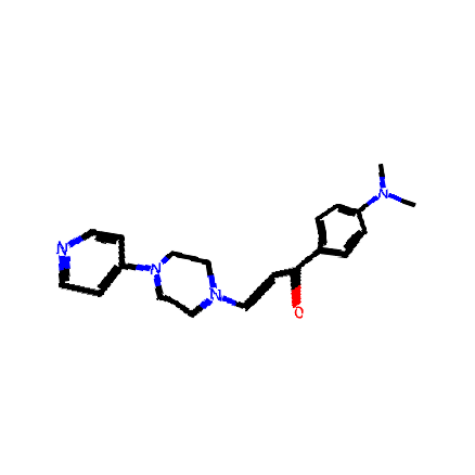 CN(C)c1ccc(C(=O)C=CN2CCN(c3ccncc3)CC2)cc1